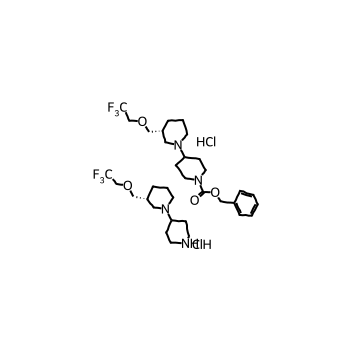 Cl.Cl.FC(F)(F)COC[C@@H]1CCCN(C2CCNCC2)C1.O=C(OCc1ccccc1)N1CCC(N2CCC[C@@H](COCC(F)(F)F)C2)CC1